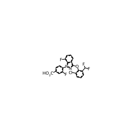 O=C(O)c1ccc(-n2nc(Oc3c(Cl)cccc3C(F)F)c3cccc(F)c32)c(F)c1